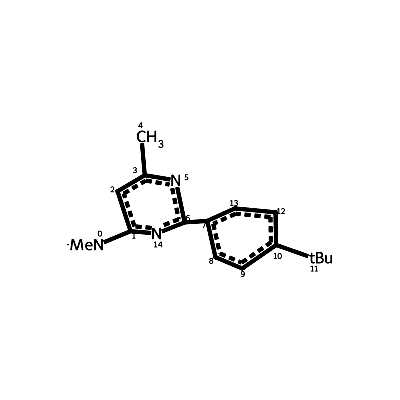 C[N]c1cc(C)nc(-c2ccc(C(C)(C)C)cc2)n1